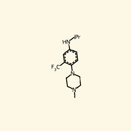 CC(C)Nc1ccc(N2CCN(C)CC2)c(C(F)(F)F)c1